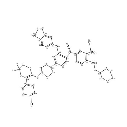 CC1(C)CCC(CN2CCN(c3ccc(C(=O)c4ccc(NCC5CCSCC5)c([N+](=O)[O-])c4)c(Oc4cnc5[nH]ccc5c4)c3)CC2)=C(c2ccc(Cl)cc2)C1